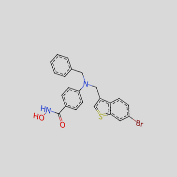 O=C(NO)c1ccc(N(Cc2ccccc2)Cc2csc3cc(Br)ccc23)cc1